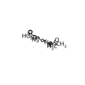 CC(C)C(C=O)c1cc(N2CC3(CC(c4cc5cc(-c6ccccc6O)nnc5s4)C3)C2)no1